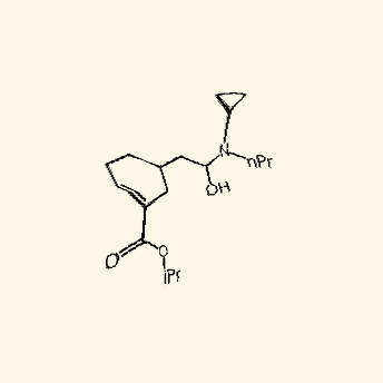 CCCN(C(O)CC1CCC=C(C(=O)OC(C)C)C1)C1CC1